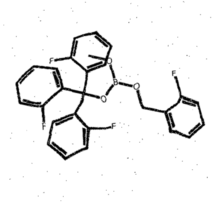 COB(OCc1ccccc1F)OC(c1ccccc1F)(c1ccccc1F)c1ccccc1F